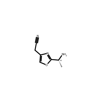 C[C@@H](N)c1nc(CC#N)co1